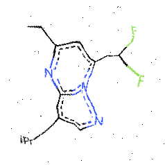 Cc1cc(C(F)F)n2ncc(C(C)C)c2n1